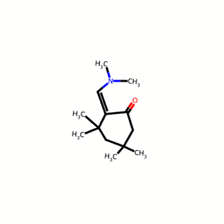 CN(C)/C=C1\C(=O)CC(C)(C)CC1(C)C